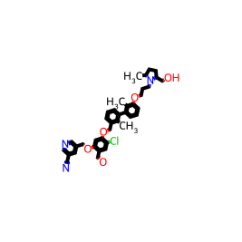 Cc1c(COc2cc(OCc3cncc(C#N)c3)c(C=O)cc2Cl)cccc1-c1cccc(OCCCN2C(C)CCC2CO)c1C